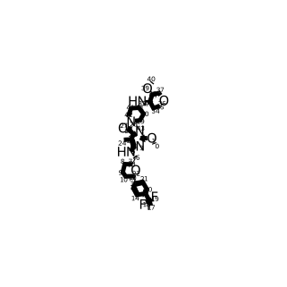 COc1nc(NC[C@H]2CCC[C@@H](c3ccc(C(F)(F)F)cc3)O2)c(C)c(C(=O)N2CCC(N[C@@H]3CCOC[C@@H]3OC)CC2)n1